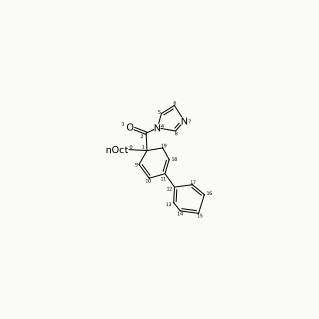 CCCCCCCCC1(C(=O)n2ccnc2)C=CC(c2ccccc2)=CC1